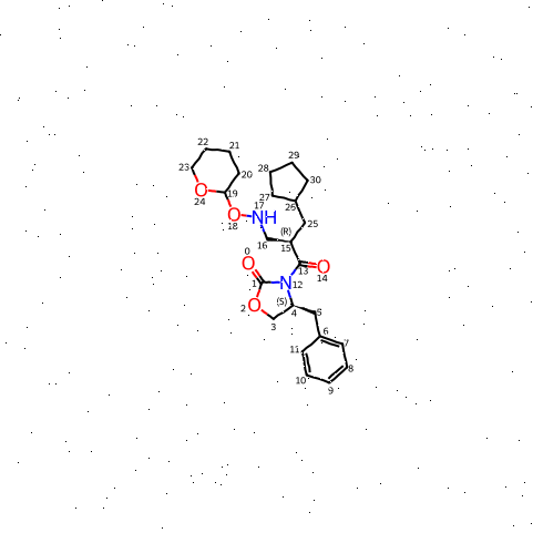 O=C1OC[C@H](Cc2ccccc2)N1C(=O)[C@@H](CNOC1CCCCO1)CC1CCCC1